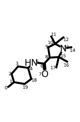 CC1CCC(NC(=O)C2CC(C)(C)N(C)C2(C)C)CC1